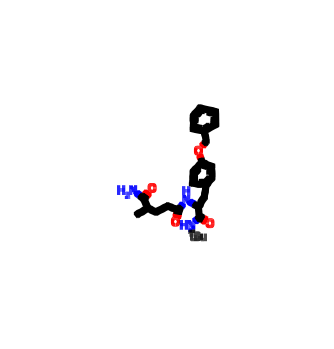 CC(C[CH]C(=O)NC(Cc1ccc(OCc2ccccc2)cc1)C(=O)NC(C)(C)C)C(N)=O